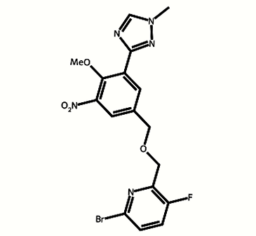 COc1c(-c2ncn(C)n2)cc(COCc2nc(Br)ccc2F)cc1[N+](=O)[O-]